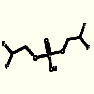 O=P(O)(OCC(F)F)OCC(F)F